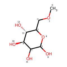 COCC1OC(O)C(O)[C@@H](O)[C@@H]1O